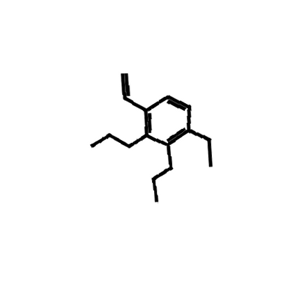 C=Cc1ccc(CC)c(CCC)c1CCC